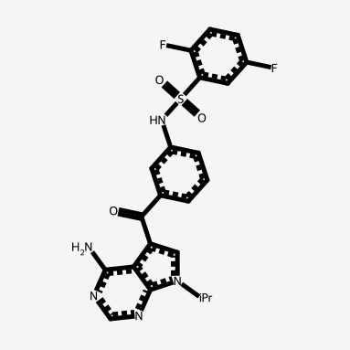 CC(C)n1cc(C(=O)c2cccc(NS(=O)(=O)c3cc(F)ccc3F)c2)c2c(N)ncnc21